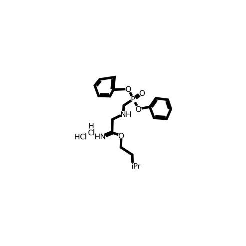 CC(C)CCOC(=N)CNCP(=O)(Oc1ccccc1)Oc1ccccc1.Cl.Cl